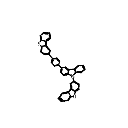 c1ccc2c(c1)oc1ccc(-n3c4ccccc4c4cc(-c5ccc(-c6ccc7sc8ccccc8c7c6)cc5)ccc43)cc12